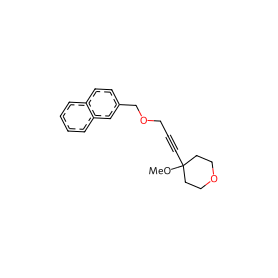 COC1(C#CCOCc2ccc3ccccc3c2)CCOCC1